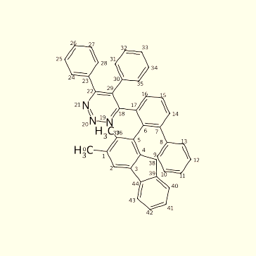 Cc1cc2c(c(-c3c(-c4ccccc4)cccc3-c3nnnc(-c4ccccc4)c3-c3ccccc3)c1C)Cc1ccccc1-2